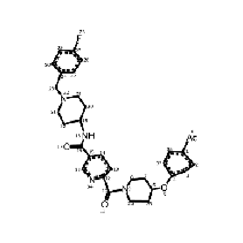 CC(=O)c1ccc(OC2CCN(C(=O)c3ccc(C(=O)NC4CCN(Cc5ccc(F)cc5)CC4)cn3)CC2)cc1